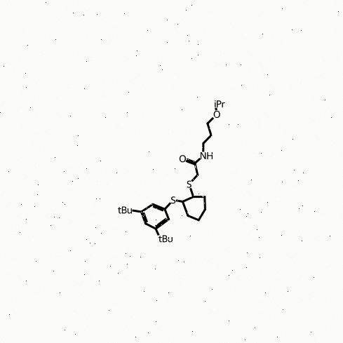 CC(C)OCCCNC(=O)CSC1CCCCC1Sc1cc(C(C)(C)C)cc(C(C)(C)C)c1